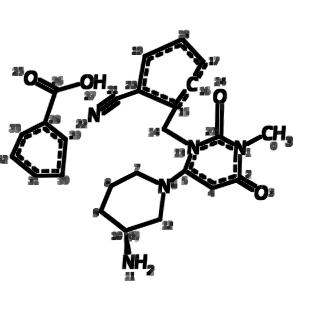 Cn1c(=O)cc(N2CCC[C@H](N)C2)n(Cc2ccccc2C#N)c1=O.O=C(O)c1ccccc1